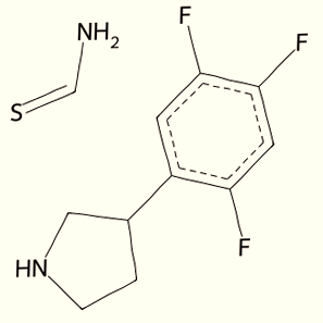 Fc1cc(F)c(C2CCNC2)cc1F.NC=S